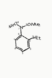 CCc1ccccc1N(OC)OC